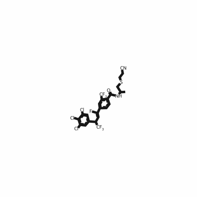 CC(CSCCC#N)NC(=O)c1ccc(/C(F)=C/C(c2cc(Cl)c(Cl)c(Cl)c2)C(F)(F)F)cc1C(F)(F)F